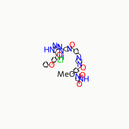 COc1ccc(C(=O)N2CCCN(Cc3ccc(C(=O)N4CCC(Nc5ncnc6[nH]cc(C(=O)c7ccc(Oc8ccccc8)cc7Cl)c56)CC4)cc3)CC2)cc1N1CCC(=O)NC1=O